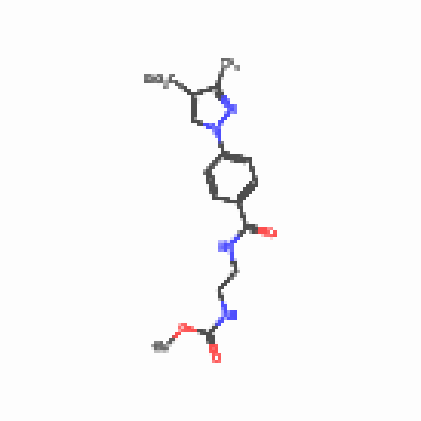 CCOC(=O)c1cn(-c2ccc(C(=O)NCCNC(=O)OC(C)(C)C)cc2)nc1C(F)(F)F